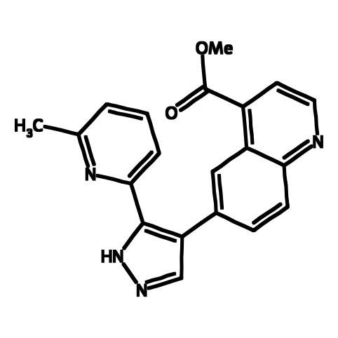 COC(=O)c1ccnc2ccc(-c3cn[nH]c3-c3cccc(C)n3)cc12